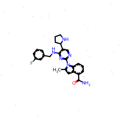 Cc1cc2c(C(N)=O)cccc2n1-c1ncc(C2CCCN2)c(NCc2cccc(F)c2)n1